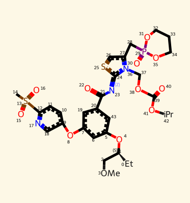 CC[C@@H](COC)Oc1cc(Oc2ccc(S(C)(=O)=O)nc2)cc(C(=O)/N=c2\scc(CP3(=O)OCCCO3)n2COC(=O)OC(C)C)c1